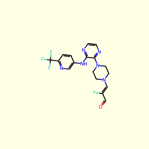 O=CC(F)=CN1CCN(c2nccnc2Nc2ccc(C(F)(F)F)nc2)CC1